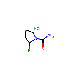 Cl.NC(=O)N1CCCC1F